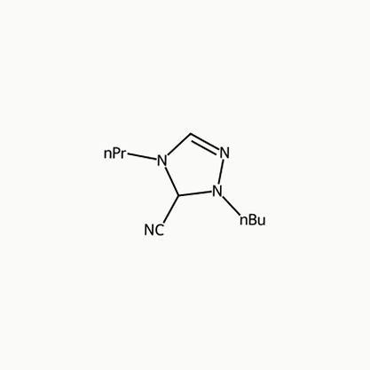 CCCCN1N=CN(CCC)C1C#N